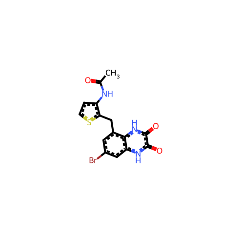 CC(=O)Nc1ccsc1Cc1cc(Br)cc2[nH]c(=O)c(=O)[nH]c12